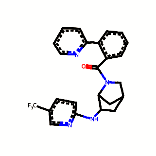 O=C(c1ccccc1-c1ccccn1)N1CC2CC(Nc3ccc(C(F)(F)F)cn3)C1C2